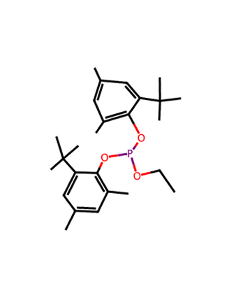 CCOP(Oc1c(C)cc(C)cc1C(C)(C)C)Oc1c(C)cc(C)cc1C(C)(C)C